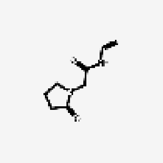 C=CNC(=O)CN1CCCC1=O